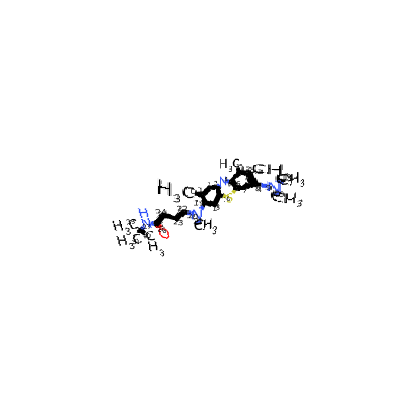 CC1=CC2=Nc3c(cc(N(C)C)c(C)c3C)SC2=CC1N(C)CCCC(=O)NC(C)(C)C